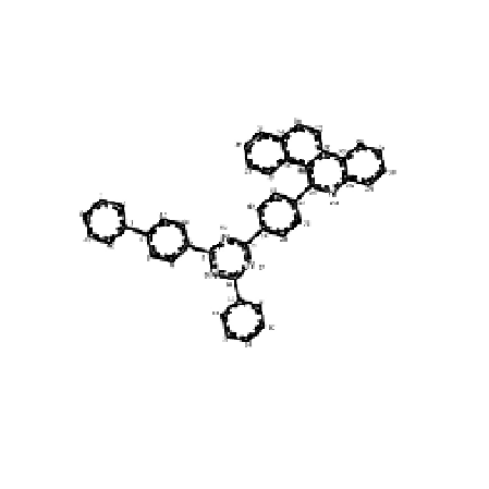 c1ccc(-c2ccc(-c3nc(-c4ccccc4)nc(-c4ccc(-c5nc6ccccc6c6ccc7ccccc7c56)cc4)n3)cc2)cc1